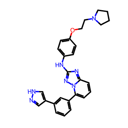 c1cc(-c2cn[nH]c2)cc(-c2cccc3nc(Nc4ccc(OCCN5CCCC5)cc4)nn23)c1